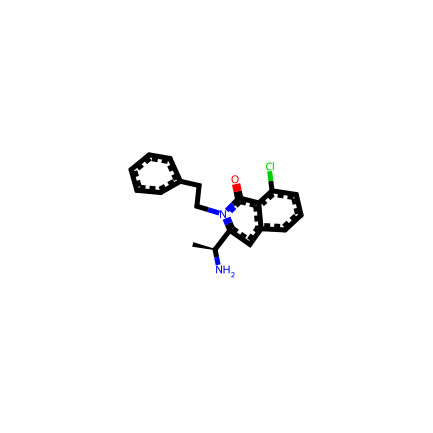 C[C@H](N)c1cc2cccc(Cl)c2c(=O)n1CCc1ccccc1